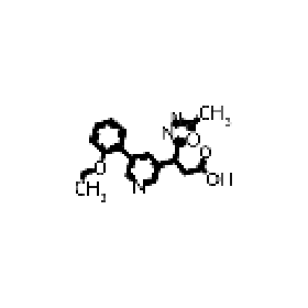 CCOc1ccccc1-c1cncc(C(CC(=O)O)c2nnc(C)o2)c1